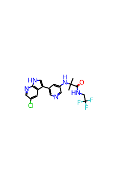 CC(C)(Nc1cncc(-c2c[nH]c3ncc(Cl)cc23)c1)C(=O)NCC(F)(F)F